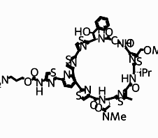 CNC(=O)C[C@@H]1NC(=O)c2csc(n2)-c2ccc(-c3nc(NC(=O)OCCCN)cs3)nc2-c2csc(n2)-c2csc(n2)[C@H]([C@@H](O)c2ccccc2)NC(=O)CNC(=O)c2nc(sc2COC)[C@H](C(C)C)NC(=O)c2nc1sc2C